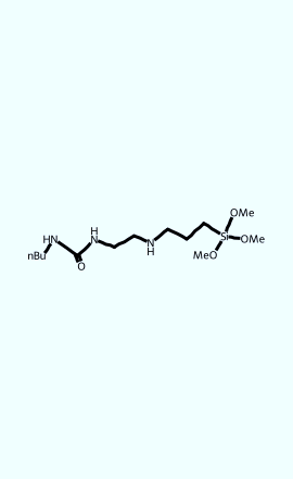 CCCCNC(=O)NCCNCCC[Si](OC)(OC)OC